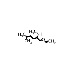 C=COCC(CCC(C)C)NC